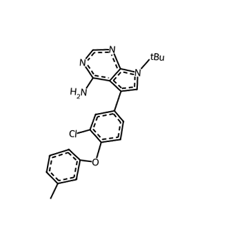 Cc1cccc(Oc2ccc(-c3cn(C(C)(C)C)c4ncnc(N)c34)cc2Cl)c1